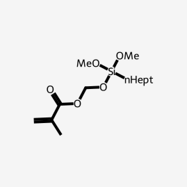 C=C(C)C(=O)OCO[Si](CCCCCCC)(OC)OC